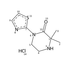 CC1(C)NCCN(c2nccs2)C1=O.Cl